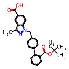 Cc1nn(Cc2ccc(-c3ccccc3C(=O)OC(C)(C)C)cc2)c2ccc(C(=O)O)cc12